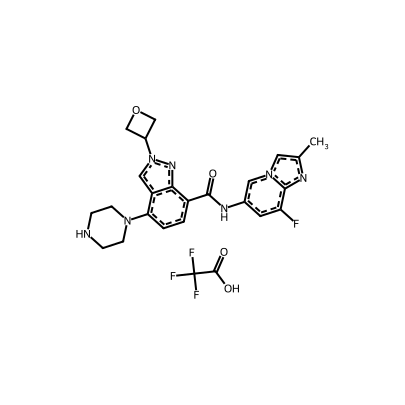 Cc1cn2cc(NC(=O)c3ccc(N4CCNCC4)c4cn(C5COC5)nc34)cc(F)c2n1.O=C(O)C(F)(F)F